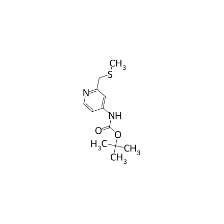 CSCc1cc(NC(=O)OC(C)(C)C)ccn1